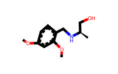 COc1ccc(CN[C@H](C)CO)c(OC)c1